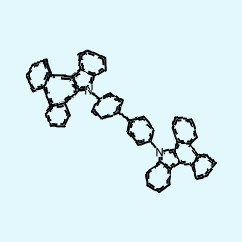 c1ccc2c(c1)c1ccccc1c1c2c2ccccc2n1-c1ccc(-c2ccc(-n3c4ccccc4c4c5ccccc5c5ccccc5c43)cc2)cc1